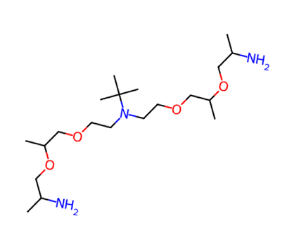 CC(N)COC(C)COCCN(CCOCC(C)OCC(C)N)C(C)(C)C